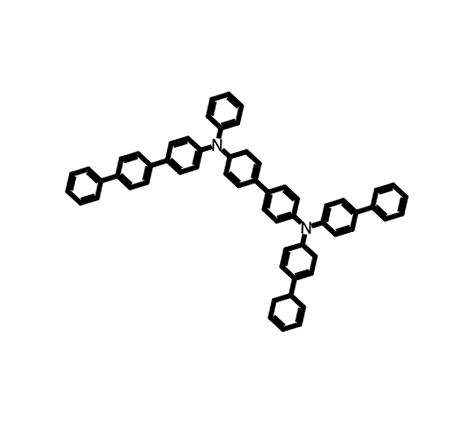 C1=CCC(C2=CCC(N(c3ccc(C4=CCC(N(c5ccccc5)c5ccc(-c6ccc(-c7ccccc7)cc6)cc5)C=C4)cc3)c3ccc(-c4ccccc4)cc3)C=C2)C=C1